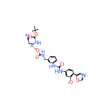 COc1cc(NC(=O)Nc2cccc(CNC(=O)OC[C@H](CC#N)NC(=O)OC(C)(C)C)c2)ccc1-c1cnco1